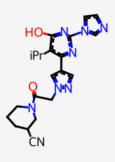 CC(C)c1c(O)nc(-n2ccnc2)nc1-c1cnn(CC(=O)N2CCCC(C#N)C2)c1